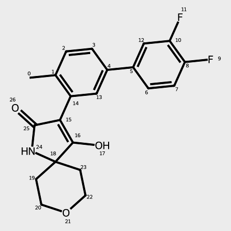 Cc1ccc(-c2ccc(F)c(F)c2)cc1C1=C(O)C2(CCOCC2)NC1=O